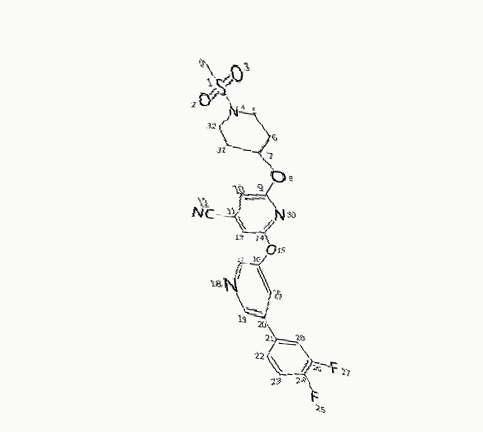 CS(=O)(=O)N1CCC(Oc2cc(C#N)cc(Oc3cncc(-c4ccc(F)c(F)c4)c3)n2)CC1